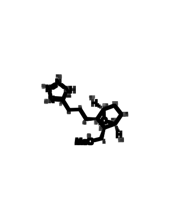 COC[C@H]1[C@@H](CCCc2nnn[nH]2)[C@H]2CC[C@@H]1O2